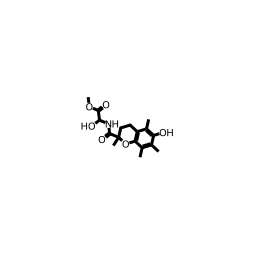 COC(=O)C(O)NC(=O)C1(C)CCc2c(C)c(O)c(C)c(C)c2O1